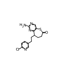 Nc1ncc2c(n1)C(CCc1ccc(Cl)nc1)CCC(=O)S2